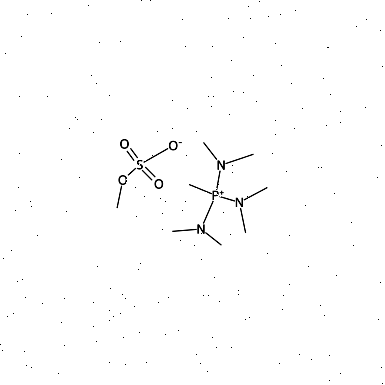 CN(C)[P+](C)(N(C)C)N(C)C.COS(=O)(=O)[O-]